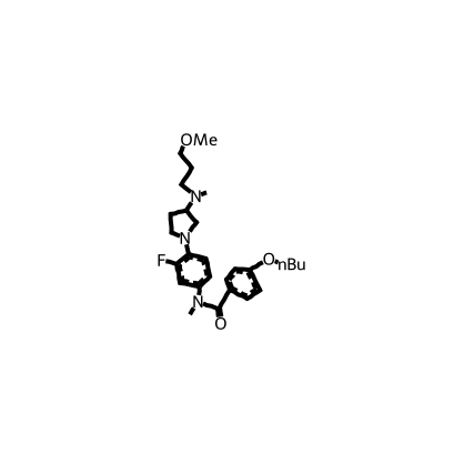 CCCCOc1ccc(C(=O)N(C)c2ccc(N3CCC(N(C)CCCOC)C3)c(F)c2)cc1